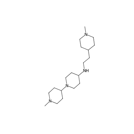 CN1CCC(CCNC2CCN(C3CCN(C)CC3)CC2)CC1